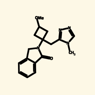 COC1CC(Cc2nncn2C)(N2Cc3ccccc3C2=O)C1